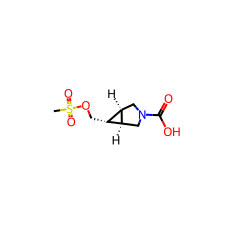 CS(=O)(=O)OC[C@@H]1[C@H]2CN(C(=O)O)C[C@@H]12